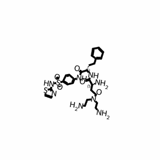 NCCN(CCN)C(=O)C[C@H](N)C(=O)N[C@@H](CCc1ccccc1)C(=O)Nc1ccc(S(=O)(=O)Nc2nccs2)cc1